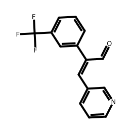 O=CC(=Cc1cccnc1)c1cccc(C(F)(F)F)c1